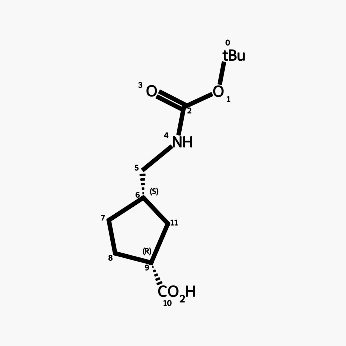 CC(C)(C)OC(=O)NC[C@H]1CC[C@@H](C(=O)O)C1